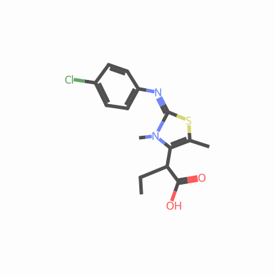 CCC(C(=O)O)c1c(C)sc(=Nc2ccc(Cl)cc2)n1C